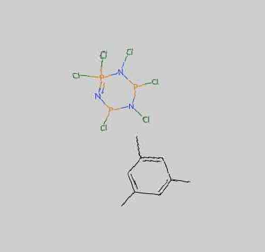 Cc1cc(C)cc(C)c1.ClN1P(Cl)N=P(Cl)(Cl)N(Cl)P1Cl